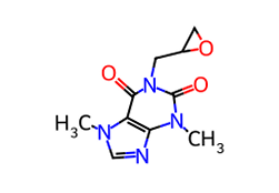 Cn1cnc2c1c(=O)n(CC1CO1)c(=O)n2C